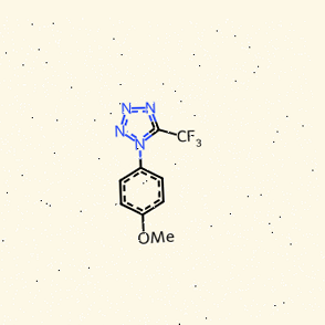 COc1[c]cc(-n2nnnc2C(F)(F)F)cc1